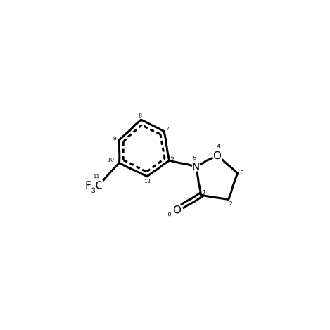 O=C1CCON1c1cccc(C(F)(F)F)c1